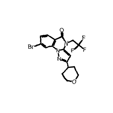 O=c1c2ccc(Br)cc2n2nc(C3CCOCC3)cc2n1CC(F)(F)F